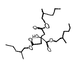 CCCC(C)COC(=O)CC(O)(CC(=O)OCC(C)CCC)C(=O)OCC(C)CCC